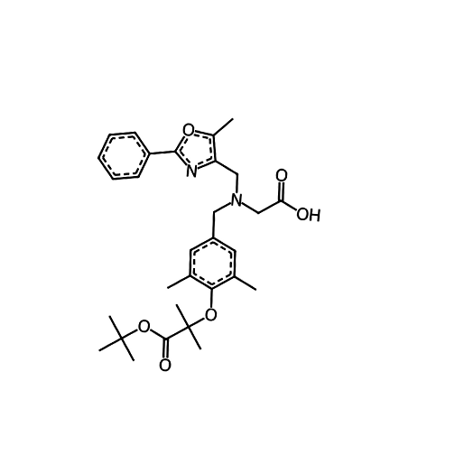 Cc1cc(CN(CC(=O)O)Cc2nc(-c3ccccc3)oc2C)cc(C)c1OC(C)(C)C(=O)OC(C)(C)C